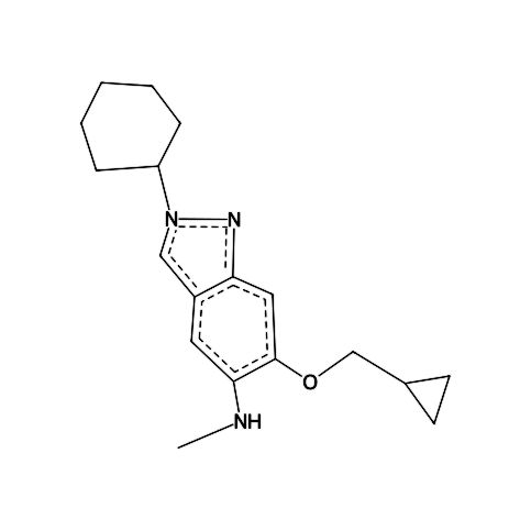 CNc1cc2cn(C3CCCCC3)nc2cc1OCC1CC1